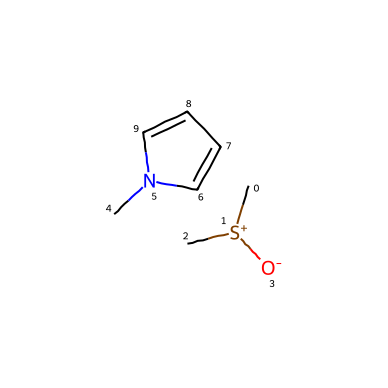 C[S+](C)[O-].Cn1cccc1